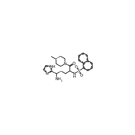 CC1CCN(C(=O)C(CCC(N)c2ncc[nH]2)NS(=O)(=O)c2cccc3ccccc23)CC1